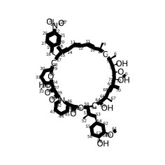 CO[C@H]1[C@@H](O)[C@H](C)C[C@H](C)/C=C/C=C/C=C(\C)[C@@H](Cc2ccc([N+](=O)[O-])cc2)CC2CC[C@@H](C)[C@@](O)(O2)C(=O)C(=O)N2CCCC[C@H]2C(=O)O[C@H]([C@H](C)C[C@@H]2CC[C@@H](O)[C@H](OC)C2)CC(O)[C@H](C)/C=C(\C)[C@H]1O